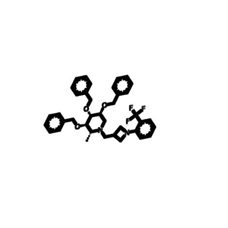 C[C@@H]1[C@@H](OCc2ccccc2)[C@H](OCc2ccccc2)[C@@H](OCc2ccccc2)CN1CC1CN(c2ccccc2C(F)(F)F)C1